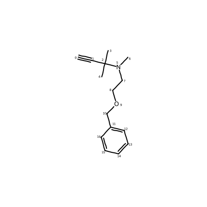 C#CC(C)(C)N(C)CCOCc1ccccc1